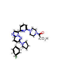 O=C(O)C(=O)N1CCN(c2cccc(-c3cnc4ccc(N5CCC[C@@H]5c5cccc(F)c5)nn34)n2)CC1